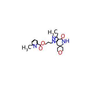 CCc1nn(CCCOC(=O)c2cccc(C)n2)c2c1C(=O)NCC1(CCOCC1)C2